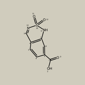 O=C(O)c1ccc2c(c1)NS(=O)(=O)N=C2